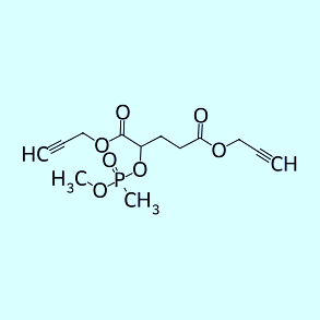 C#CCOC(=O)CCC(OP(C)(=O)OC)C(=O)OCC#C